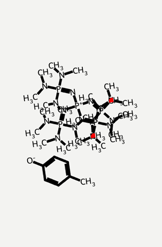 CN(C)P(=N[P+](N=P(N(C)C)(N(C)C)N(C)C)(N=P(N(C)C)(N(C)C)N(C)C)N=P(N(C)C)(N(C)C)N(C)C)(N(C)C)N(C)C.Cc1ccc([O-])cc1